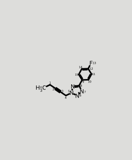 CCC#CCn1nnc(-c2ccc(F)cc2)n1